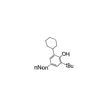 CCCCCCCCCc1cc(C2CCCCC2)c(O)c(C(C)(C)C)c1